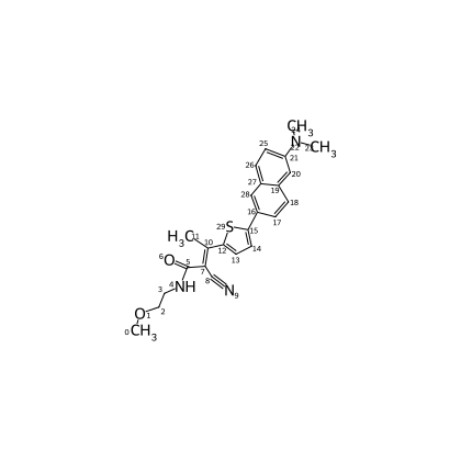 COCCNC(=O)/C(C#N)=C(\C)c1ccc(-c2ccc3cc(N(C)C)ccc3c2)s1